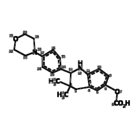 CC1(C)Cc2cc(OC(=O)O)ccc2NC1c1ccc(N2CCOCC2)cc1